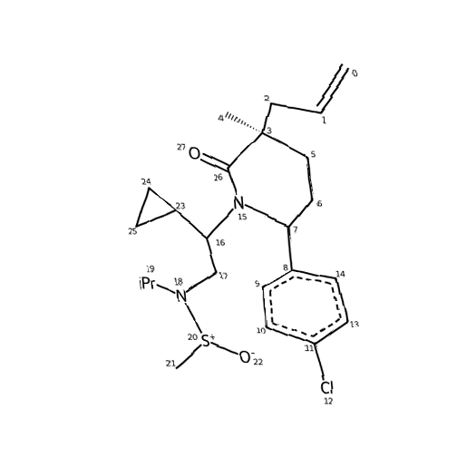 C=CC[C@@]1(C)CCC(c2ccc(Cl)cc2)N(C(CN(C(C)C)[S+](C)[O-])C2CC2)C1=O